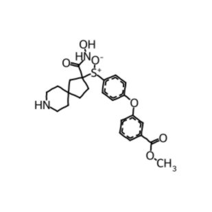 COC(=O)c1cccc(Oc2ccc([S+]([O-])C3(C(=O)NO)CCC4(CCNCC4)C3)cc2)c1